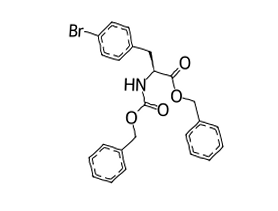 O=C(N[C@@H](Cc1ccc(Br)cc1)C(=O)OCc1ccccc1)OCc1ccccc1